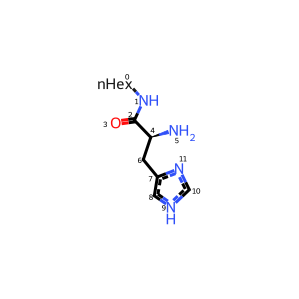 [CH2]CCCCCNC(=O)[C@@H](N)Cc1c[nH]cn1